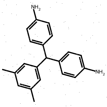 Cc1cc(C)cc(C(c2ccc(N)cc2)c2ccc(N)cc2)c1